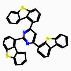 c1ccc2c(c1)sc1c(-c3cc(-c4cccc5sc6ccccc6c45)nc(-c4cccc5sc6ccccc6c45)n3)cccc12